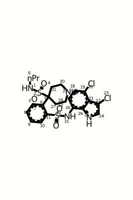 CCCNS(=O)(=O)C1(c2ccccc2S(=O)(=O)Nc2ccc(Cl)c3c(Cl)c[nH]c23)CCNCC1